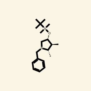 C[C@@H]1[C@@H](O[Si](C)(C)C(C)(C)C)CN(Cc2ccccc2)[C@H]1C